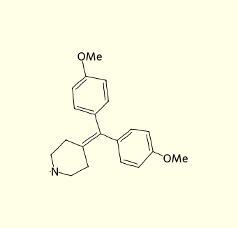 COc1ccc(C(=C2CC[N]CC2)c2ccc(OC)cc2)cc1